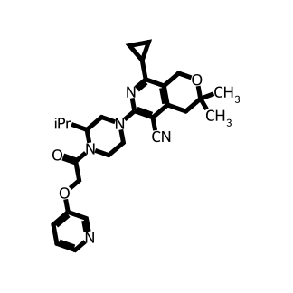 CC(C)C1CN(c2nc(C3CC3)c3c(c2C#N)CC(C)(C)OC3)CCN1C(=O)COc1cccnc1